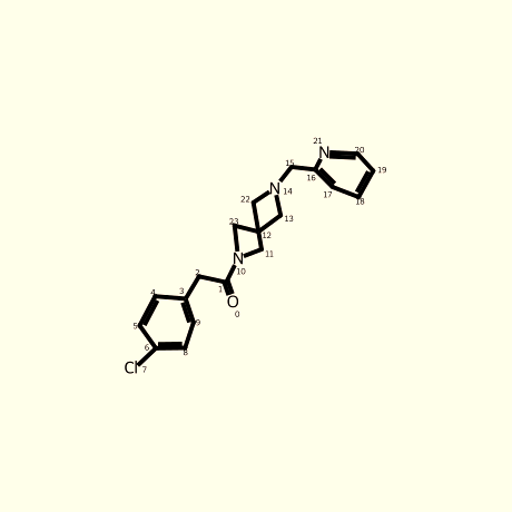 O=C(Cc1ccc(Cl)cc1)N1CC2(CN(Cc3ccccn3)C2)C1